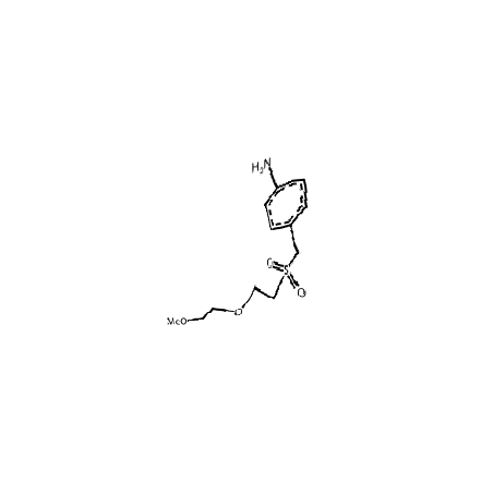 COCCOCCS(=O)(=O)Cc1ccc(N)cc1